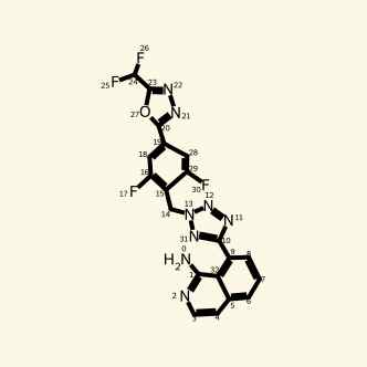 Nc1nccc2cccc(-c3nnn(Cc4c(F)cc(-c5nnc(C(F)F)o5)cc4F)n3)c12